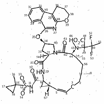 C[C@@H]1CCC=C[C@@H]2C[C@@]2(C(=O)NS(=O)(=O)C2(C)CC2)NC(=O)[C@@H]2C[C@@H](Oc3nc4c(c5ccccc35)CCCO4)CN2C(=O)[C@@H](N(C(=O)O)C(C)(C)C(C)(F)F)[C@H](C)C1